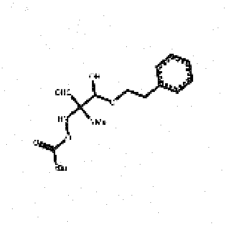 CNC(C=O)(NOC(=O)C(C)(C)C)C(O)OCCc1ccccc1